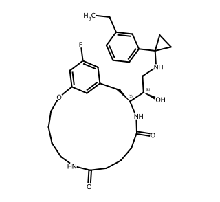 CCc1cccc(C2(NC[C@@H](O)[C@@H]3Cc4cc(F)cc(c4)OCCCCNC(=O)CCCC(=O)N3)CC2)c1